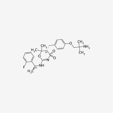 C[C@H](NC1=NS(=O)(=O)[C@@H](Cc2ccc(OCC(C)(C)N)cc2)C(C)(C)O1)c1ccccc1F